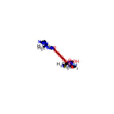 Cc1ncsc1-c1ccc(CNC(=O)[C@@H]2C[C@@H](O)CN2C(=O)[C@@H](NC(=O)C2(F)CC2)C(C)(C)C)c(OCCOCCOCCOCCOCCOCCC(=O)N2CCN(c3nnc(-c4cnc(-c5ccc6cc(C#N)cnn56)cc4NC(C)C)s3)CC2)c1